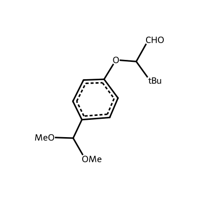 COC(OC)c1ccc(OC(C=O)C(C)(C)C)cc1